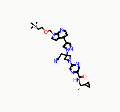 C[C@H](NC(=O)c1cnc(N2CC(CC#N)(n3cc(-c4ccnc5c4ccn5COCC[Si](C)(C)C)cn3)C2)cn1)C1CC1